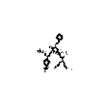 Cl.Cl.Cl.NCCN(CCN)C(=O)C[C@H](N)C(=O)N[C@@H](CCc1ccccc1)C(=O)NCCN(C=O)c1ccc(C(F)(F)F)cc1